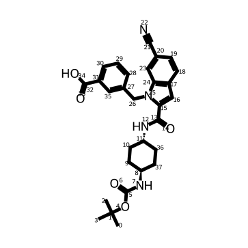 CC(C)(C)OC(=O)N[C@H]1CC[C@H](NC(=O)c2cc3ccc(C#N)cc3n2Cc2cccc(C(=O)O)c2)CC1